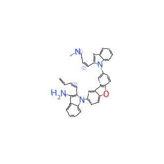 C=C/C=C\c1c(N)c2ccccc2n1-c1ccc2oc3ccc(-n4c(/C=C\C=N/C)cc5ccccc54)cc3c2c1